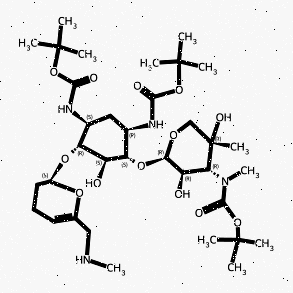 CNCC1=CCC[C@@H](O[C@H]2[C@H](O)[C@@H](O[C@H]3OC[C@](C)(O)[C@H](N(C)C(=O)OC(C)(C)C)[C@H]3O)[C@H](NC(=O)OC(C)(C)C)C[C@@H]2NC(=O)OC(C)(C)C)O1